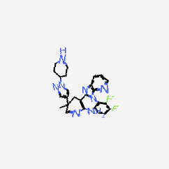 CC1(c2cnn(C3CCNCC3)c2)C=NC(N)=C(c2nc3cccnc3n2-c2cccc(F)c2F)C1